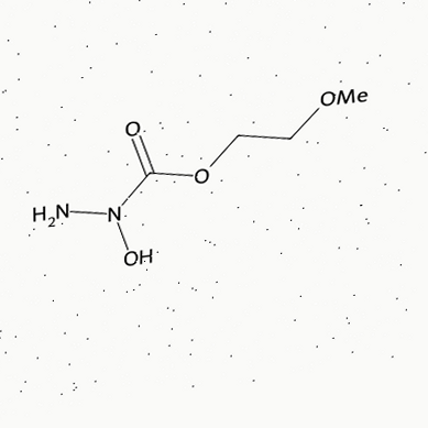 COCCOC(=O)N(N)O